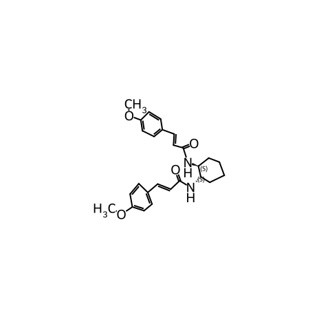 COc1ccc(C=CC(=O)N[C@H]2CCCC[C@@H]2NC(=O)C=Cc2ccc(OC)cc2)cc1